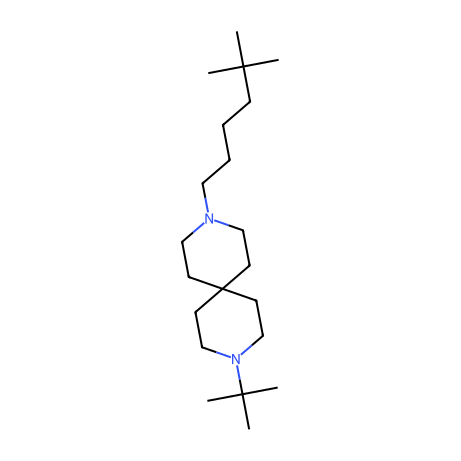 CC(C)(C)CCCCN1CCC2(CC1)CCN(C(C)(C)C)CC2